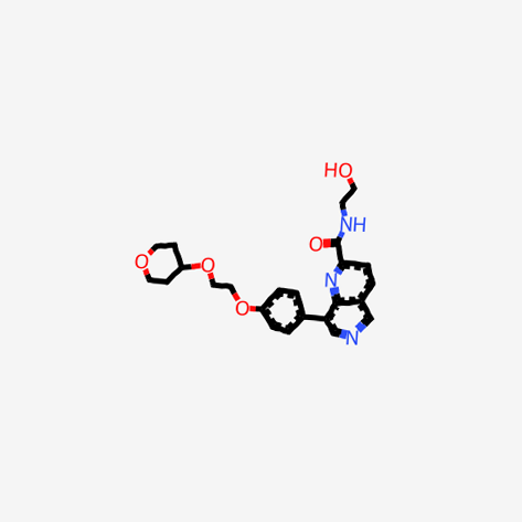 O=C(NCCO)c1ccc2cncc(-c3ccc(OCCOC4CCOCC4)cc3)c2n1